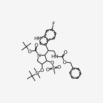 CC(C)(C)OC(=O)N1CC(O[Si](C)(C)C(C)(C)C)C(OS(C)(=O)=O)C1C(CNC(=O)OCc1ccccc1)c1c[nH]c2cc(F)ccc12